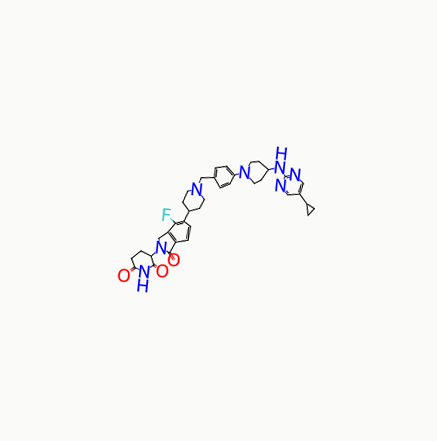 O=C1CCC(N2Cc3c(ccc(C4CCN(Cc5ccc(N6CCC(Nc7ncc(C8CC8)cn7)CC6)cc5)CC4)c3F)C2=O)C(=O)N1